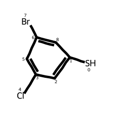 Sc1cc(Cl)cc(Br)c1